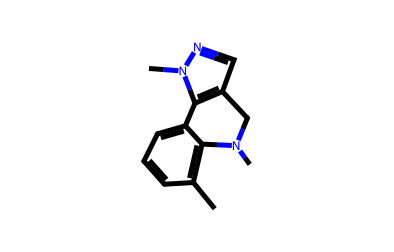 Cc1cccc2c1N(C)Cc1cnn(C)c1-2